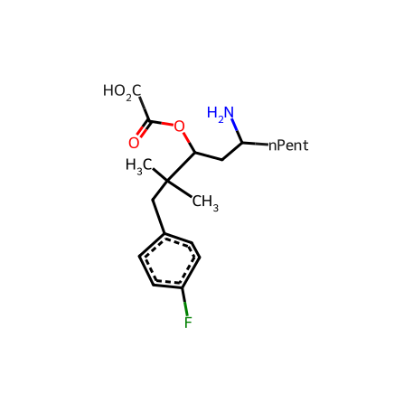 CCCCCC(N)CC(OC(=O)C(=O)O)C(C)(C)Cc1ccc(F)cc1